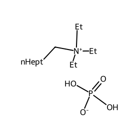 CCCCCCCC[N+](CC)(CC)CC.O=P([O-])(O)O